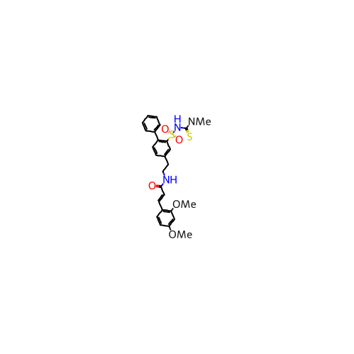 CNC(=S)NS(=O)(=O)c1cc(CCNC(=O)C=Cc2ccc(OC)cc2OC)ccc1-c1ccccc1